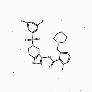 O=C(Nc1n[nH]c2c1CN(S(=O)(=O)c1cc(F)cc(F)c1)CC2)c1c(F)cccc1CN1CCCCC1